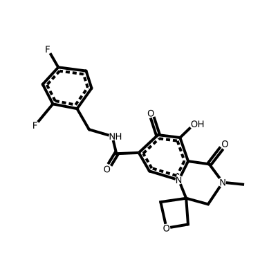 CN1CC2(COC2)n2cc(C(=O)NCc3ccc(F)cc3F)c(=O)c(O)c2C1=O